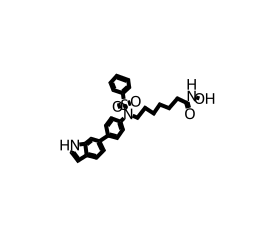 O=C(CCCCCCN(c1ccc(-c2ccc3cc[nH]c3c2)cc1)S(=O)(=O)c1ccccc1)NO